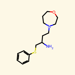 NC(CCN1CCCOCC1)CSc1ccccc1